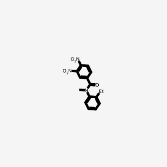 CCc1ccccc1N(C)C(=O)c1ccc([N+](=O)[O-])c([N+](=O)[O-])c1